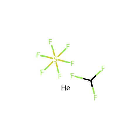 FC(F)F.FS(F)(F)(F)(F)F.[He]